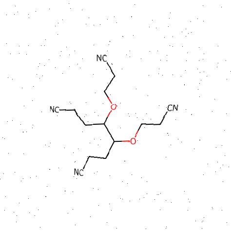 N#CCCOC(CCC#N)C(CCC#N)OCCC#N